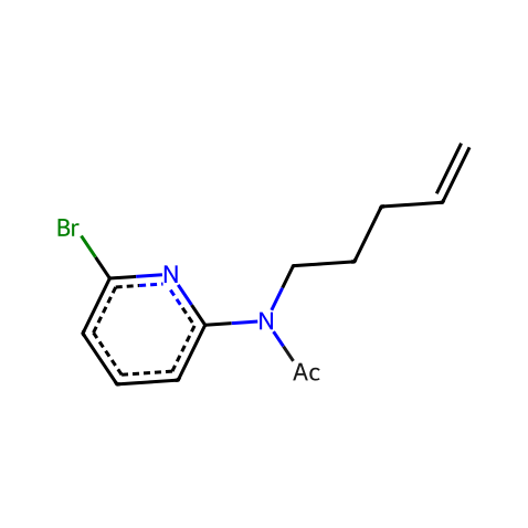 C=CCCCN(C(C)=O)c1cccc(Br)n1